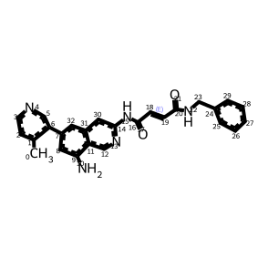 Cc1ccncc1-c1cc(N)c2cnc(NC(=O)/C=C/C(=O)NCc3ccccc3)cc2c1